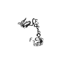 CCCCS(=O)(=O)ON=C(c1ccc(OCCCOc2ccc(C(=NOS(=O)(=O)CCCC)C(F)(F)F)cc2)cc1)C(F)(F)F